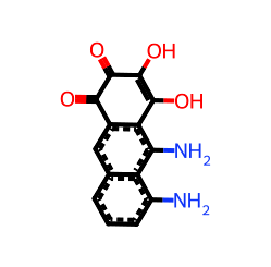 Nc1cccc2cc3c(c(N)c12)C(O)=C(O)C(=O)C3=O